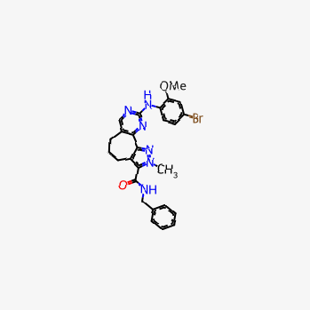 COc1cc(Br)ccc1Nc1ncc2c(n1)-c1nn(C)c(C(=O)NCc3ccccc3)c1CCC2